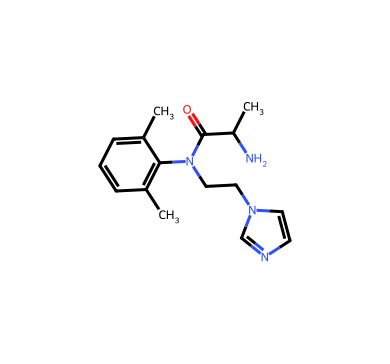 Cc1cccc(C)c1N(CCn1ccnc1)C(=O)C(C)N